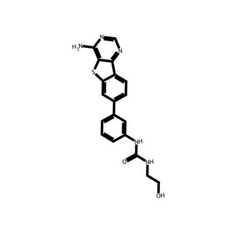 Nc1ncnc2c1sc1cc(-c3cccc(NC(=O)NCCO)c3)ccc12